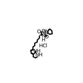 Cl.O=C(O)[C@H](CCCCCCCC1=CC=C2CCCNC2N1)NS(=O)(=O)C1CCCCC1